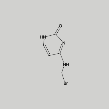 O=c1nc(NCBr)cc[nH]1